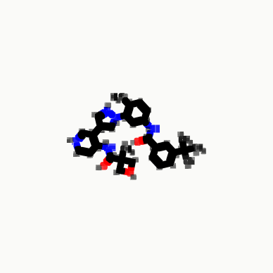 Cc1ccc(NC(=O)c2cccc(C(C)(C)C#N)c2)cc1-n1cc(-c2cnccc2NC(=O)C2(C)COC2)cn1